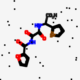 O=C(NC(=O)c1ccco1)C(=O)NC(C(=O)O)c1cccs1